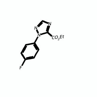 CCOC(=O)c1ncnn1-c1ccc(F)cc1